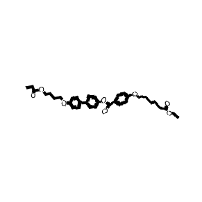 C=COC(=O)CCCCCOc1ccc(C(=O)Oc2ccc(-c3ccc(OCCCCOC(=O)C=C)cc3)cc2)cc1